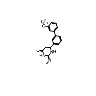 C/N=C1\NC(=O)C[C@@H](c2cccc(-c3cccc(OC(F)(F)F)c3)c2)N1